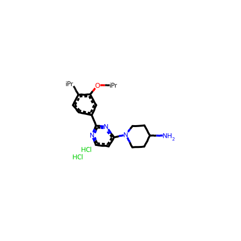 CC(C)Oc1cc(-c2nccc(N3CCC(N)CC3)n2)ccc1C(C)C.Cl.Cl